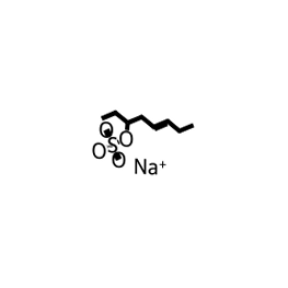 CCC=CCC(CC)OS(=O)(=O)[O-].[Na+]